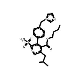 CCCCOC(=O)c1c(CC(C)C)ccc(S(N)(=O)=O)c1-c1ccc(Cn2ccnc2)cc1